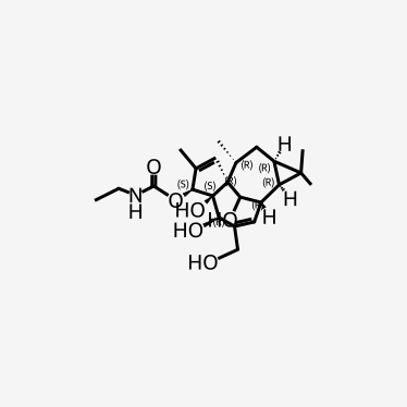 CCNC(=O)O[C@H]1C(C)=C[C@]23C(O)[C@@H](C=C(CO)[C@@H](O)[C@]12O)[C@H]1[C@@H](C[C@H]3C)C1(C)C